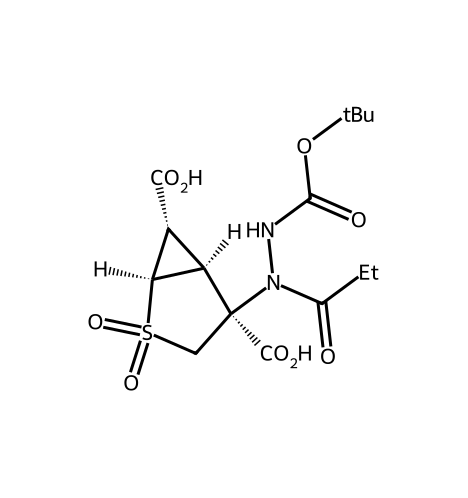 CCC(=O)N(NC(=O)OC(C)(C)C)[C@@]1(C(=O)O)CS(=O)(=O)[C@H]2[C@H](C(=O)O)[C@H]21